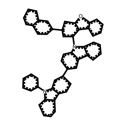 c1ccc(-n2c3ccccc3c3ccc(-c4ccc5c(c4)c4ccccc4n5-c4cc(-c5ccc6ccccc6c5)cc5oc6ccccc6c45)cc32)cc1